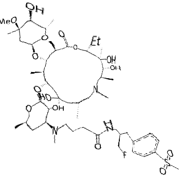 CC[C@H]1OC(=O)[C@H](C)[C@@H](O[C@H]2C[C@@](C)(OC)[C@@H](O)[C@H](C)O2)[C@H](C)[C@@H](O[C@@H]2O[C@H](C)C[C@H](N(C)CCCC(=O)N[C@H](CF)Cc3ccc(S(C)(=O)=O)cc3)[C@H]2O)[C@](C)(O)C[C@@H](C)CN(C)[C@H](C)[C@@H](O)[C@]1(C)O